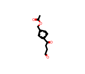 CC(=O)OCc1ccc(C(=O)CCC=O)cc1